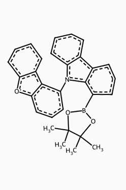 CC1(C)OB(c2cccc3c4ccccc4n(-c4cccc5oc6ccccc6c45)c23)OC1(C)C